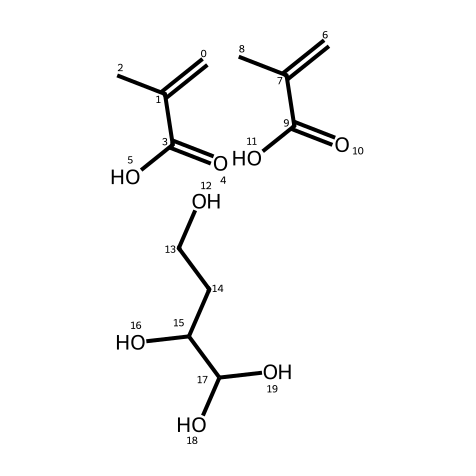 C=C(C)C(=O)O.C=C(C)C(=O)O.OCCC(O)C(O)O